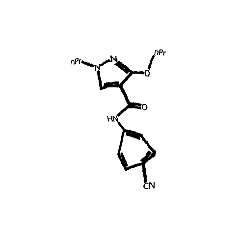 CCCOc1nn(CCC)cc1C(=O)Nc1ccc(C#N)cc1